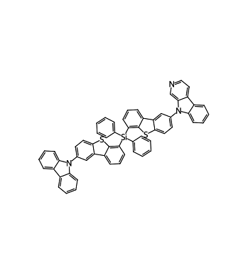 c1ccc([Si](c2ccccc2)(c2cccc3c2sc2ccc(-n4c5ccccc5c5ccccc54)cc23)c2cccc3c2sc2ccc(-n4c5ccccc5c5ccncc54)cc23)cc1